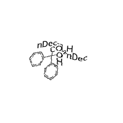 CCCCCCCCCCCCCCCCCCCCCC.O=C(O)C(O)(c1ccccc1)c1ccccc1